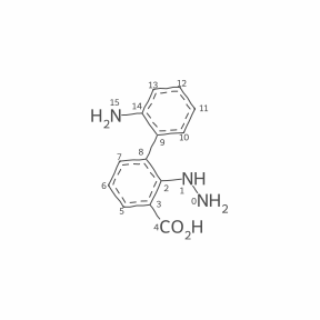 NNc1c(C(=O)O)cccc1-c1ccccc1N